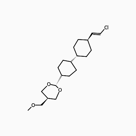 COC[C@H]1CO[C@H](C2CCC([C@H]3CC[C@H](/C=C/Cl)CC3)CC2)OC1